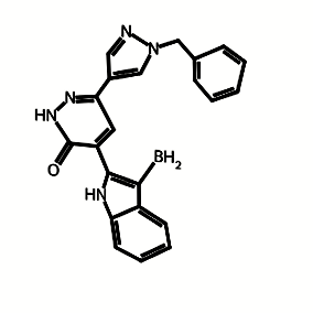 Bc1c(-c2cc(-c3cnn(Cc4ccccc4)c3)n[nH]c2=O)[nH]c2ccccc12